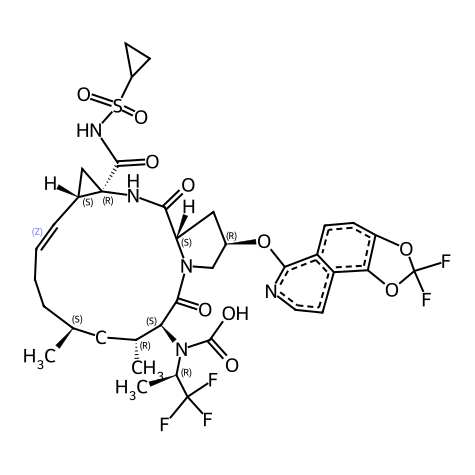 C[C@H]1CC/C=C\[C@@H]2C[C@@]2(C(=O)NS(=O)(=O)C2CC2)NC(=O)[C@@H]2C[C@@H](Oc3nccc4c5c(ccc34)OC(F)(F)O5)CN2C(=O)[C@@H](N(C(=O)O)[C@H](C)C(F)(F)F)[C@H](C)C1